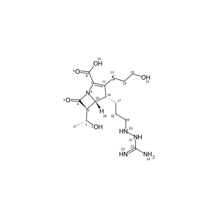 C[C@@H](O)[C@H]1C(=O)N2C(C(=O)O)=C(SCCO)[C@H](CCCNNC(=N)N)[C@H]12